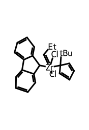 CC[CH]=[Zr]([Cl])([Cl])([CH]1c2ccccc2-c2ccccc21)[C]1(C(C)(C)C)C=CC=C1